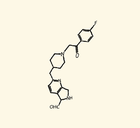 O=CC1NCc2nc(CC3CCN(CC(=O)c4ccc(F)cc4)CC3)ccc21